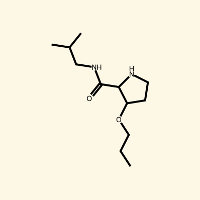 CCCOC1CCNC1C(=O)NCC(C)C